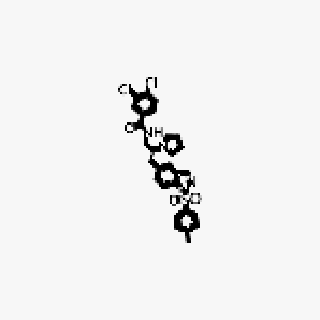 Cc1ccc(S(=O)(=O)n2ncc3cc(C[C@@H](CNC(=O)c4ccc(Cl)c(Cl)c4)N4CCCC4)ccc32)cc1